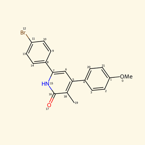 COc1ccc(-c2cc(-c3ccc(Br)cc3)[nH]c(=O)c2C)cc1